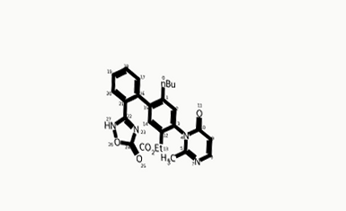 CCCCc1cc(-n2c(C)nccc2=O)c(C(=O)OCC)cc1-c1ccccc1-c1nc(=O)o[nH]1